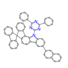 c1ccc(-c2nc(-c3ccccc3)nc(-n3c4ccc(-c5ccc6ccccc6c5)cc4c4ccc5c(c43)-c3ccccc3C53c4ccccc4-c4ccccc43)n2)cc1